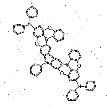 c1ccc(N(c2ccccc2)c2cc3c4c(c2)Oc2cc5c(cc2B4c2ccccc2O3)c2cc3c(cc2n5-c2ccccc2)Oc2cc(N(c4ccccc4)c4ccccc4)cc4c2B3c2ccccc2O4)cc1